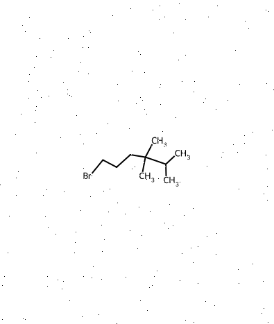 CC(C)C(C)(C)CCCBr